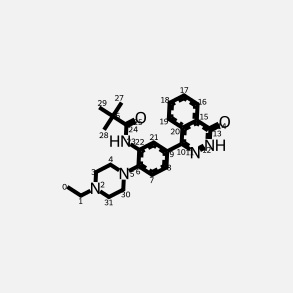 CCN1CCN(c2ccc(-c3n[nH]c(=O)c4ccccc34)cc2NC(=O)C(C)(C)C)CC1